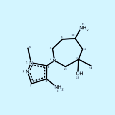 Cn1ncc(N)c1N1CCC(N)CC(C)(O)C1